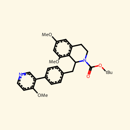 COc1cc2c(c(OC)c1)C(Cc1ccc(-c3cnccc3OC)cc1)N(C(=O)OC(C)(C)C)CC2